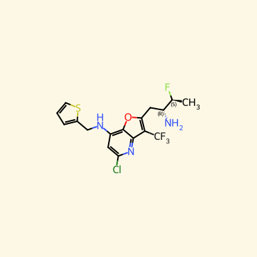 C[C@H](F)[C@H](N)Cc1oc2c(NCc3cccs3)cc(Cl)nc2c1C(F)(F)F